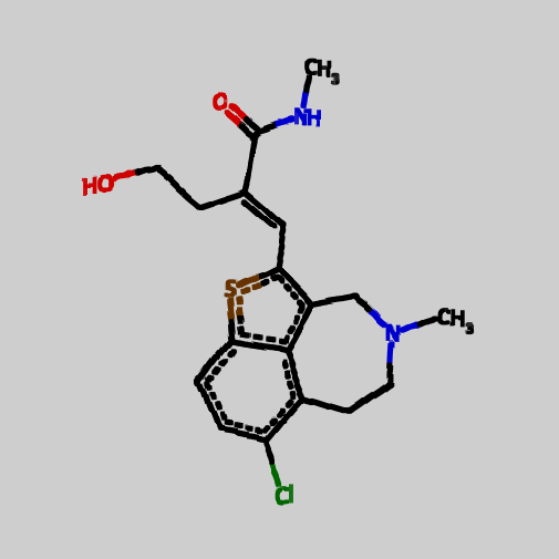 CNC(=O)/C(=C/c1sc2ccc(Cl)c3c2c1CN(C)CC3)CCO